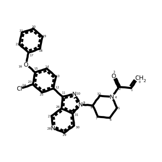 C=CC(=O)N1CCCC(n2nc(-c3ccc(Oc4ccccc4)c(Cl)c3)c3cnccc32)C1